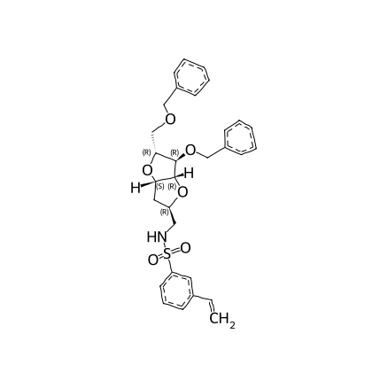 C=Cc1cccc(S(=O)(=O)NC[C@H]2C[C@@H]3O[C@H](COCc4ccccc4)[C@@H](OCc4ccccc4)[C@@H]3O2)c1